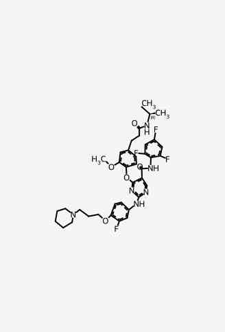 CC[C@@H](C)NC(=O)CCc1ccc(Oc2nc(Nc3ccc(OCCCN4CCCCC4)c(F)c3)ncc2C(=O)Nc2c(F)cc(F)cc2F)c(OC)c1